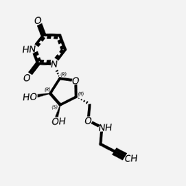 C#CCNOC[C@H]1O[C@@H](n2ccc(=O)[nH]c2=O)[C@H](O)[C@@H]1O